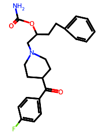 NC(=O)OC(CCc1ccccc1)CN1CCC(C(=O)c2ccc(F)cc2)CC1